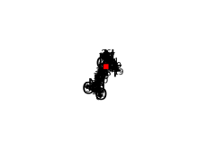 COc1cc(OC)nc(N2CC3CN(C(=O)c4cc(F)ccc4-n4nccn4)CC3C2)n1